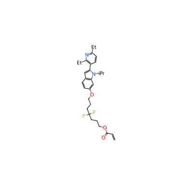 C=CC(=O)OCCCC(F)(F)CCCOc1ccc2cc(-c3ccc(CC)nc3CC)n(C(C)C)c2c1